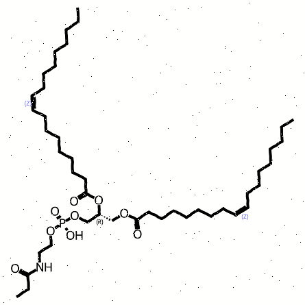 CCCCCCCC/C=C\CCCCCCCC(=O)OC[C@H](COP(=O)(O)OCCNC(=O)CC)OC(=O)CCCCCCC/C=C\CCCCCCCC